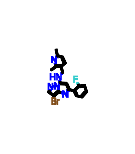 Cc1ccc(CNc2cc(-c3ccccc3F)nc3c(Br)cnn23)c(C)n1